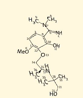 COc1ccc(C(=N)N(C)C)c(O)c1OC[C@H](C)NC(C)(C)CO